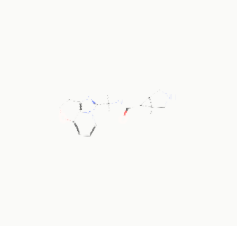 CC(C)(NC(=O)[C@H]1C2CNC[C@@H]21)c1nc2c3c(cccn13)OCC2